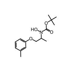 Cc1cccc(OCC(C)N(O)C(=O)OC(C)(C)C)c1